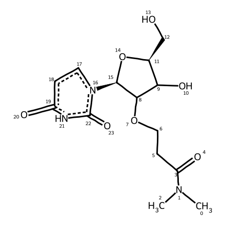 CN(C)C(=O)CCOC1C(O)[C@H](CO)O[C@@H]1n1ccc(=O)[nH]c1=O